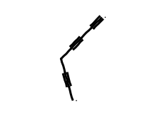 [C]#CC#CCC#C[CH2]